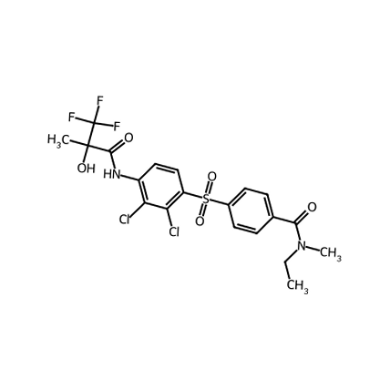 CCN(C)C(=O)c1ccc(S(=O)(=O)c2ccc(NC(=O)C(C)(O)C(F)(F)F)c(Cl)c2Cl)cc1